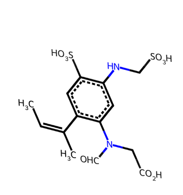 C/C=C(/C)c1cc(S(=O)(=O)O)c(NCS(=O)(=O)O)cc1N(C=O)CC(=O)O